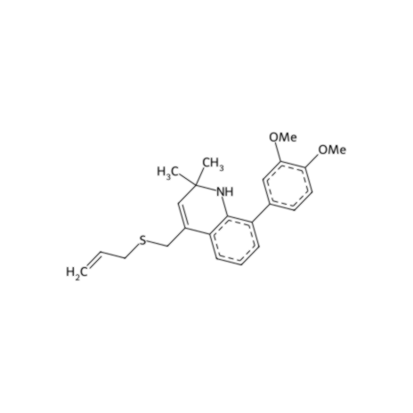 C=CCSCC1=CC(C)(C)Nc2c1cccc2-c1ccc(OC)c(OC)c1